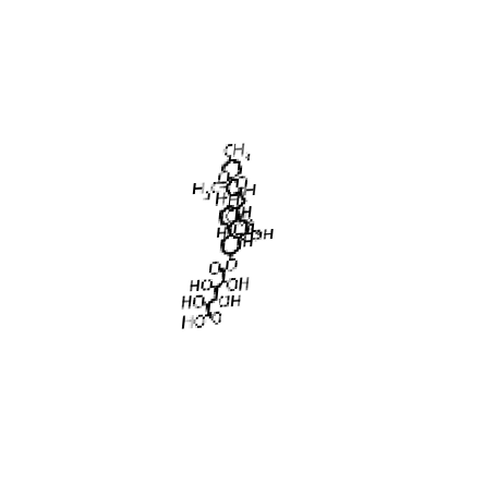 C[C@@H]1CC[C@@]2(OC1)O[C@H]1C[C@H]3[C@@H]4C[C@H](O)[C@H]5C[C@@H](OC(=O)[C@H](O)[C@@H](O)[C@H](O)[C@H](O)C(=O)O)CC[C@]5(C)[C@H]4CC[C@]3(C)[C@H]1[C@@H]2C